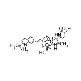 CC(C)[C@H](OC(=O)C(/C=C/c1ccc2ccc([C@@H](C)N)nc2c1)(CF)CF)C(=O)N[C@@H](C)C(=O)N1CCC[C@@H](C(=O)O)N1.Cl